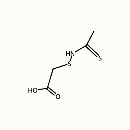 CC(=S)NSCC(=O)O